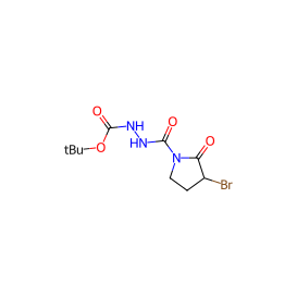 CC(C)(C)OC(=O)NNC(=O)N1CCC(Br)C1=O